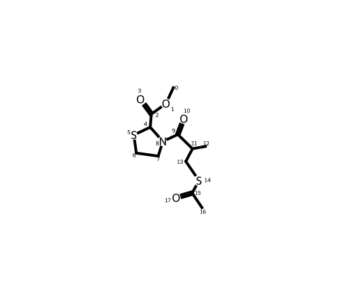 COC(=O)C1SCCN1C(=O)C(C)CSC(C)=O